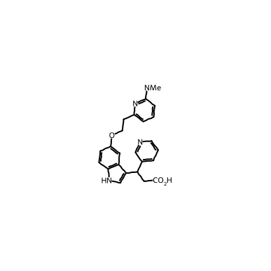 CNc1cccc(CCOc2ccc3[nH]cc(C(CC(=O)O)c4cccnc4)c3c2)n1